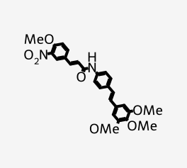 COc1ccc(/C=C/C(=O)Nc2ccc(C=Cc3cc(OC)c(OC)c(OC)c3)cc2)cc1[N+](=O)[O-]